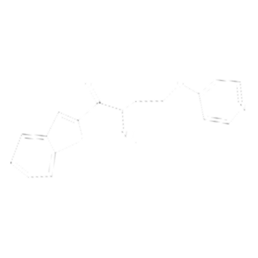 NC(CCOc1ccncc1)C(=O)c1cc2ccccc2s1